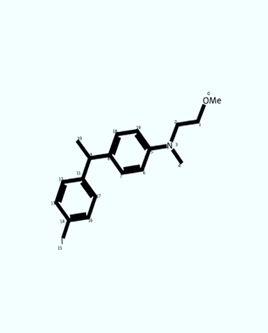 COCCN(C)c1ccc(C(C)c2ccc(I)cc2)cc1